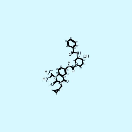 CC(C)n1c(=O)n(CC2CC2)c(=O)c2cc(NC(=O)N3CC[C@@H](O)[C@H](NC(=O)c4ccccc4)C3)ccc21